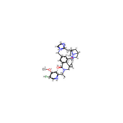 CCOc1cc([C@H](C)N2CC3(CC3)c3c(CN4C5CC4CN(C)C5)cc(Cn4ccnc4NC)cc3C2=O)ncc1F